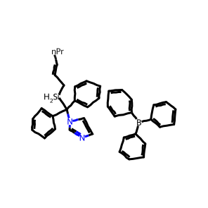 CCCC=CC[SiH2]C(c1ccccc1)(c1ccccc1)n1ccnc1.c1ccc(B(c2ccccc2)c2ccccc2)cc1